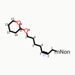 CCCCCCCCCC/C=C\CCCCOC1CCCCO1